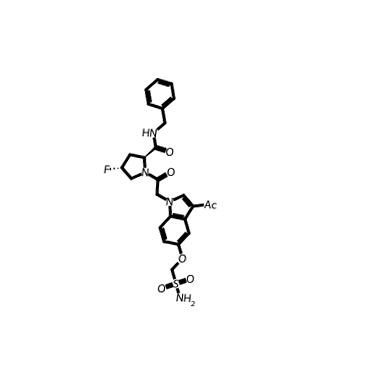 CC(=O)c1cn(CC(=O)N2C[C@H](F)C[C@H]2C(=O)NCc2ccccc2)c2ccc(OCS(N)(=O)=O)cc12